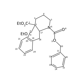 CCOC(=O)C1(C(=O)OCC)CCCN(C(=O)OCc2ccccc2)C1Cc1ccccc1